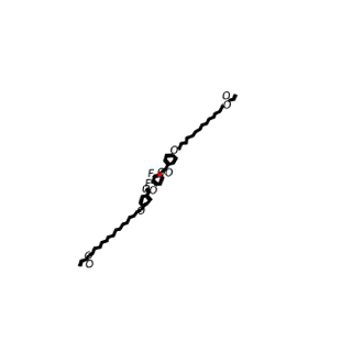 C=CC(=O)OCCCCCCCCCCCCCCOc1ccc(C(=O)Oc2ccc(OC(=O)c3ccc(OCCCCCCCCCCCCCCOC(=O)C=C)cc3)c(F)c2F)cc1